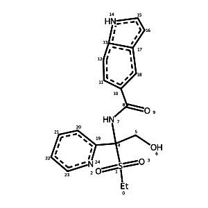 CCS(=O)(=O)C(CO)(NC(=O)c1ccc2[nH]ccc2c1)c1ccccn1